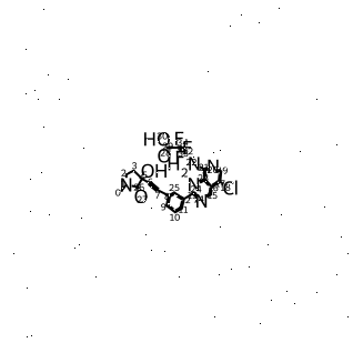 CN1CC[C@@](O)(C#Cc2cccc(-c3ncc4c(Cl)cnc(N)c4n3)c2)C1=O.O=C(O)C(F)(F)F